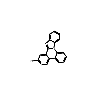 Clc1cc2c(cn1)c1ccccc1n1c3ccccc3nc21